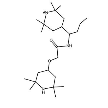 CCCC(NC(=O)COC1CC(C)(C)NC(C)(C)C1)C1CC(C)(C)NC(C)(C)C1